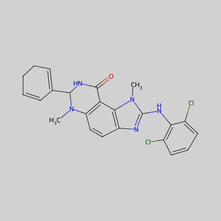 CN1c2ccc3nc(Nc4c(Cl)cccc4Cl)n(C)c3c2C(=O)NC1C1=CCCC=C1